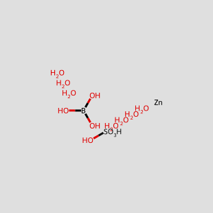 O.O.O.O.O.O.O.O=S(=O)(O)O.OB(O)O.[Zn]